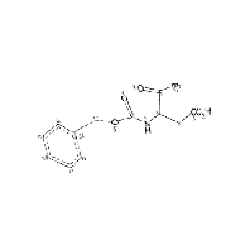 CC(C)C(=O)C(CC(=O)O)NC(=O)OCc1ccccc1